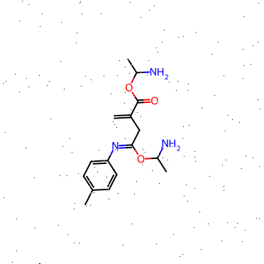 C=C(CC(=Nc1ccc(C)cc1)OC(C)N)C(=O)OC(C)N